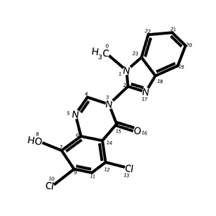 Cn1c(-n2cnc3c(O)c(Cl)cc(Cl)c3c2=O)nc2ccccc21